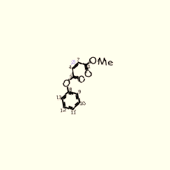 COC(=O)/C=C\C(=O)Oc1ccccc1